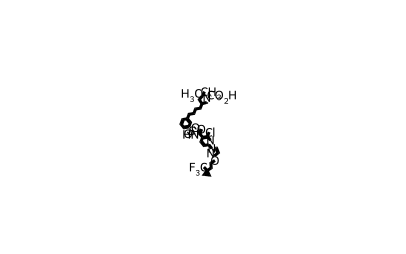 CC1(C)CC(CCCCc2cccc(S(=O)(=O)NC(=O)c3ccc(-n4ccc(OCCC5(C(F)(F)F)CC5)n4)nc3Cl)c2)CN1C(=O)O